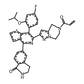 C=CC(=O)N1CCn2nc(-c3nc(-c4ccc5c(c4)CCNC5=O)c4ccsc4c3-c3ccc(F)cc3OC(C)C)cc2C1